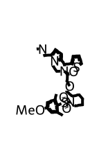 COc1cc(C)c(S(=O)(=O)N2CCCCC2COCC(=O)N2CCn3c(CN(C)C)ccc3C2c2cccs2)c(C)c1